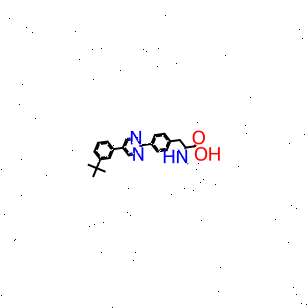 CNC(Cc1ccc(-c2ncc(-c3cccc(C(C)(C)C)c3)cn2)cc1)C(=O)O